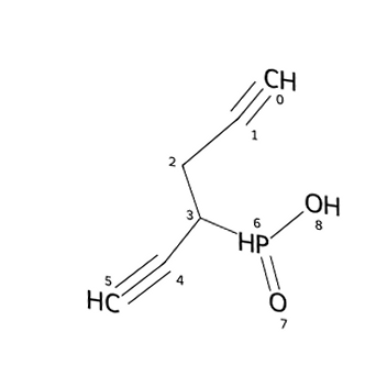 C#CCC(C#C)[PH](=O)O